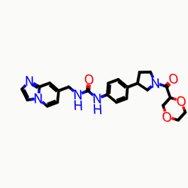 O=C(NCc1ccn2ccnc2c1)Nc1ccc(C2CCN(C(=O)C3COCCO3)C2)cc1